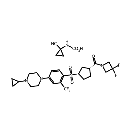 N#CC1(NC(=O)O)CC1.O=C([C@@H]1CC[C@@H](S(=O)(=O)c2ccc(N3CCN(C4CC4)CC3)cc2C(F)(F)F)C1)N1CC(F)(F)C1